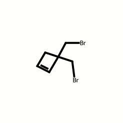 BrCC1(CBr)C=CC1